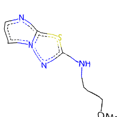 COCCNc1nn2ccnc2s1